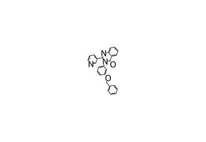 O=c1c2ccccc2nc(-c2cccnc2)n1-c1cccc(OCc2ccccc2)c1